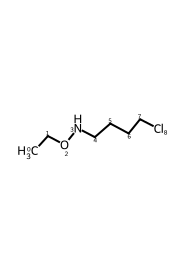 CCONCCCCCl